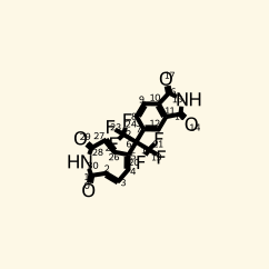 O=C1/C=C/C=C(C(c2ccc3c(c2)C(=O)NC3=O)(C(F)(F)F)C(F)(F)F)\C=C\C(=O)N1